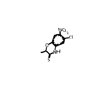 CC1Oc2cc([N+](=O)[O-])c(Cl)cc2NC1=S